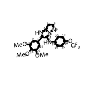 COc1cc(-c2[nH]c3ccnn3c2Nc2ccc(OC(F)(F)F)cc2)cc(OC)c1OC